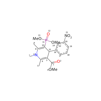 COC(=O)C1=C(C)N(C)C(C)=C(P(=O)(OC)OC)C1c1cccc([N+](=O)[O-])c1